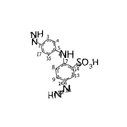 N=Nc1ccc(Nc2ccc(N=N)cc2S(=O)(=O)O)cc1